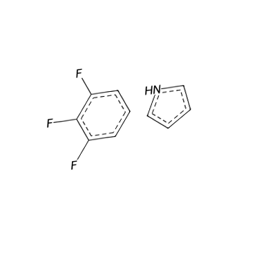 Fc1cccc(F)c1F.c1cc[nH]c1